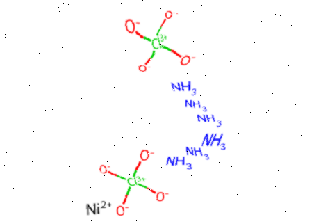 N.N.N.N.N.N.[Ni+2].[O-][Cl+3]([O-])([O-])[O-].[O-][Cl+3]([O-])([O-])[O-]